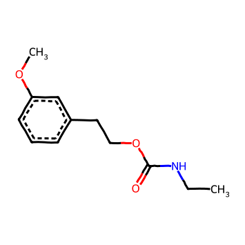 CCNC(=O)OCCc1cccc(OC)c1